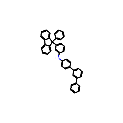 c1ccc(-c2cccc(-c3ccc(Nc4cccc(C5(c6ccccc6)c6ccccc6-c6ccccc65)c4)cc3)c2)cc1